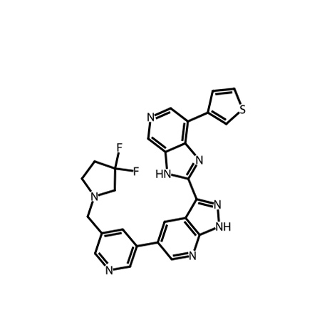 FC1(F)CCN(Cc2cncc(-c3cnc4[nH]nc(-c5nc6c(-c7ccsc7)cncc6[nH]5)c4c3)c2)C1